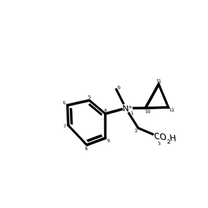 C[N+](CC(=O)O)(c1ccccc1)C1CC1